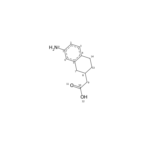 Nc1ccc2c(c1)CC(CC(=O)O)CC2